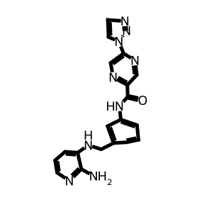 Nc1ncccc1NCc1cccc(NC(=O)c2cnc(-n3ccnn3)cn2)c1